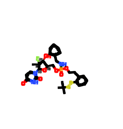 CC(C)(C)SSc1ccccc1CCOP(=O)(NCc1ccccc1)OC[C@H]1O[C@@H](n2ccc(=O)[nH]c2=O)[C@](C)(F)[C@@H]1O